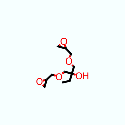 CCC(O)(COCC1CO1)COCC1CO1